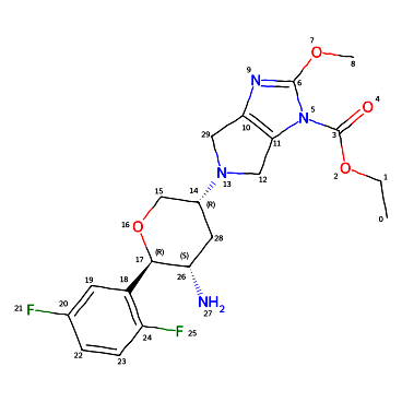 CCOC(=O)n1c(OC)nc2c1CN([C@H]1CO[C@H](c3cc(F)ccc3F)[C@@H](N)C1)C2